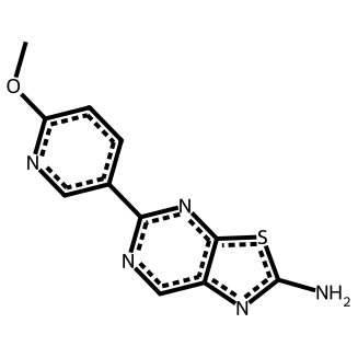 COc1ccc(-c2ncc3nc(N)sc3n2)cn1